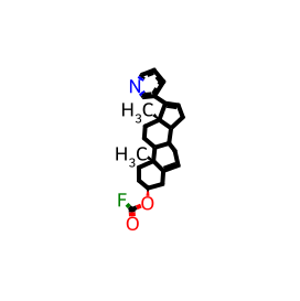 C[C@]12CC[C@H](OC(=O)F)CC1=CCC1C2CC[C@]2(C)C(c3cccnc3)=CCC12